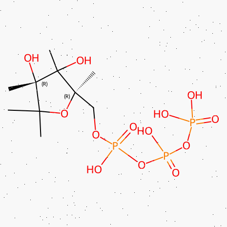 CC1(C)O[C@](C)(COP(=O)(O)OP(=O)(O)OP(=O)(O)O)C(C)(O)[C@@]1(C)O